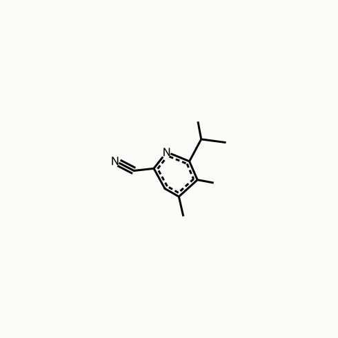 Cc1cc(C#N)nc(C(C)C)c1C